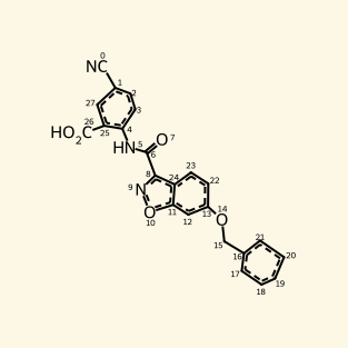 N#Cc1ccc(NC(=O)c2noc3cc(OCc4ccccc4)ccc23)c(C(=O)O)c1